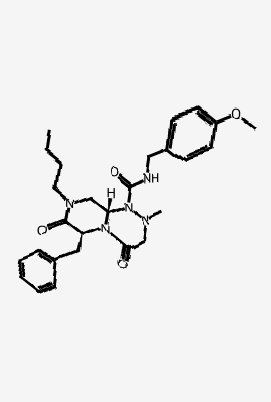 CCCCN1C[C@H]2N(C(=O)CN(C)N2C(=O)NCc2ccc(OC)cc2)[C@@H](Cc2ccccc2)C1=O